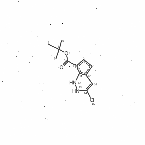 CC(C)(C)OC(=O)n1ccc2c1NNC(Cl)=C2